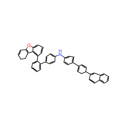 C1=Cc2oc3cccc(-c4ccccc4-c4ccc(Nc5ccc(C6=CCC(c7ccc8ccccc8c7)C=C6)cc5)cc4)c3c2CC1